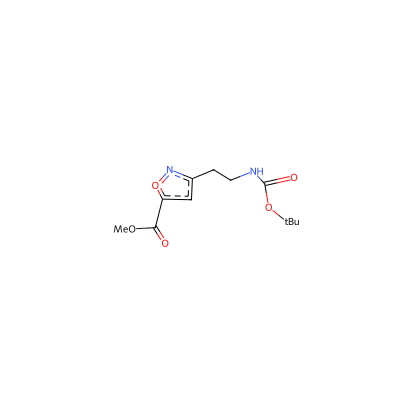 COC(=O)c1cc(CCNC(=O)OC(C)(C)C)no1